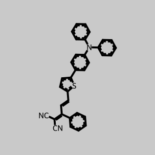 N#CC(C#N)=C(C=Cc1ccc(-c2ccc(N(c3ccccc3)c3ccccc3)cc2)s1)c1ccccc1